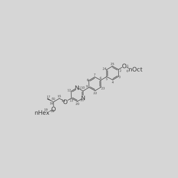 CCCCCCCCOc1ccc(-c2ccc(-c3ncc(OC[C@H](C)OCCCCCC)cn3)cc2)cc1